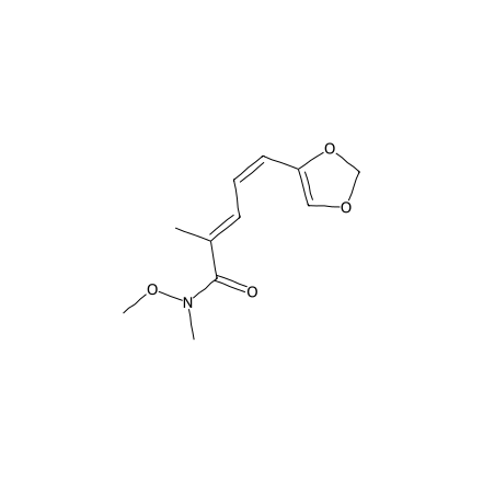 CON(C)C(=O)/C(C)=C/C=C\C1=COCO1